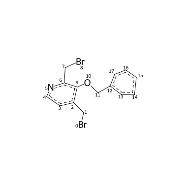 BrCc1ccnc(CBr)c1OCc1ccccc1